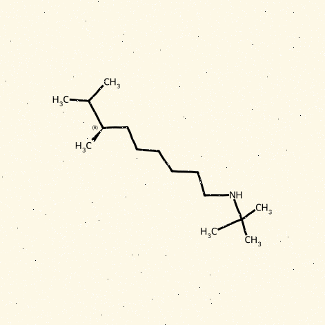 CC(C)[C@H](C)CCCCCCNC(C)(C)C